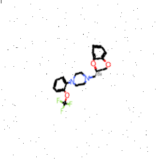 FC(F)(F)Oc1ccccc1N1CCN(C[C@H]2COc3ccccc3O2)CC1